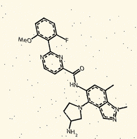 COc1cccc(F)c1-c1nccc(C(=O)Nc2cc(C)c3c(cnn3C)c2N2CCC(N)C2)n1